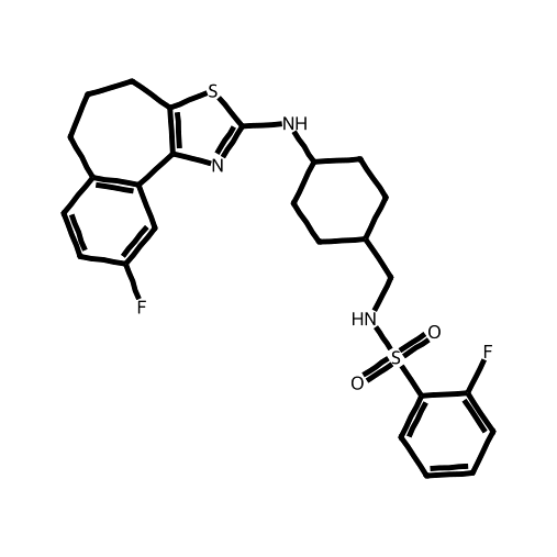 O=S(=O)(NCC1CCC(Nc2nc3c(s2)CCCc2ccc(F)cc2-3)CC1)c1ccccc1F